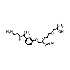 C=C(O)COCCOC(COc1cccc(C(=C)NCCN)c1)N=[N+]=[N-]